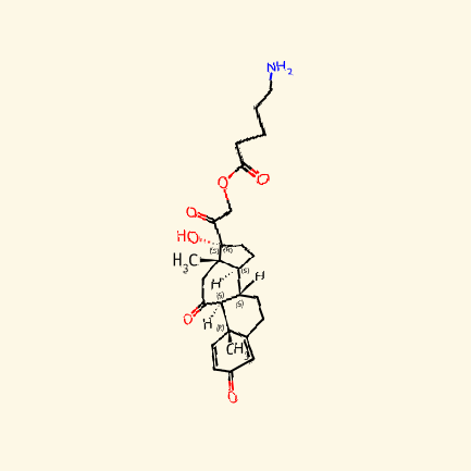 C[C@]12C=CC(=O)C=C1CC[C@@H]1[C@@H]2C(=O)C[C@@]2(C)[C@H]1CC[C@]2(O)C(=O)COC(=O)CCCCN